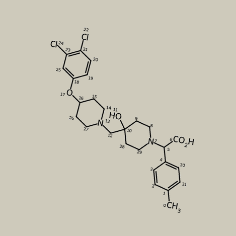 Cc1ccc(C(C(=O)O)N2CCC(O)(CN3CCC(Oc4ccc(Cl)c(Cl)c4)CC3)CC2)cc1